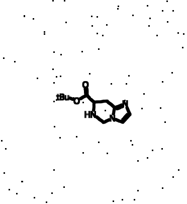 CC(C)(C)OC(=O)C1Cc2nccn2CN1